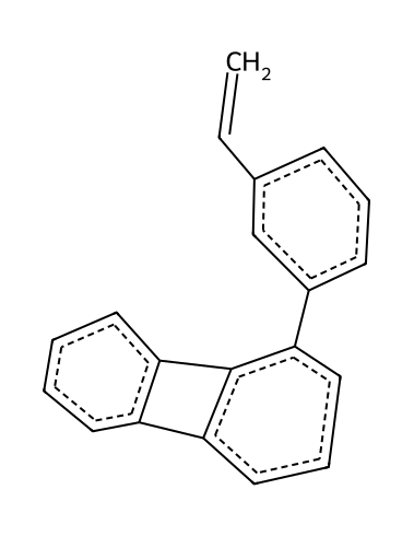 C=Cc1cccc(-c2cccc3c2-c2ccccc2-3)c1